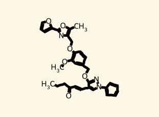 CCCC(=O)C=Cc1cn(-c2ccccc2)nc1OCc1ccc(OCc2nc(-c3ccco3)oc2C)c(OC)c1